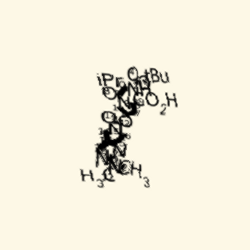 CC(C)[C@H](NC(=O)OC(C)(C)C)C(=O)N1C[C@H](OC(=O)N2Cc3cnc(N(C)C)nc3C2)C[C@H]1C(=O)O